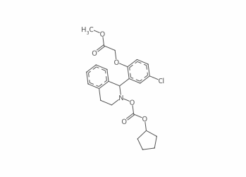 COC(=O)COc1ccc(Cl)cc1C1c2ccccc2CCN1OC(=O)OC1CCCC1